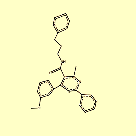 COc1cccc(-c2nc(-c3cccnc3)nc(C)c2C(=O)NCCCc2ccccc2)c1